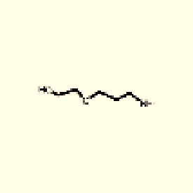 [NH]CCCOCCO